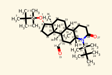 CC(C)(C)[Si](C)(C)O[C@H]1CC[C@H]2[C@@H]3[C@@H](C=O)C[C@H]4N([Si](C)(C)C(C)(C)C)C(=O)CC[C@]4(C)[C@H]3CC[C@]12C